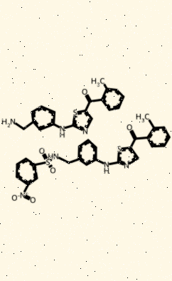 Cc1ccccc1C(=O)c1cnc(Nc2cccc(CN)c2)s1.Cc1ccccc1C(=O)c1cnc(Nc2cccc(CNS(=O)(=O)c3cccc([N+](=O)[O-])c3)c2)s1